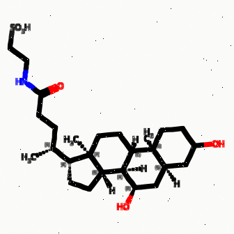 C[C@H](CCC(=O)NCCS(=O)(=O)O)[C@H]1CC[C@H]2[C@@H]3[C@H](O)C[C@@H]4CC(O)CC[C@]4(C)[C@H]3CC[C@]12C